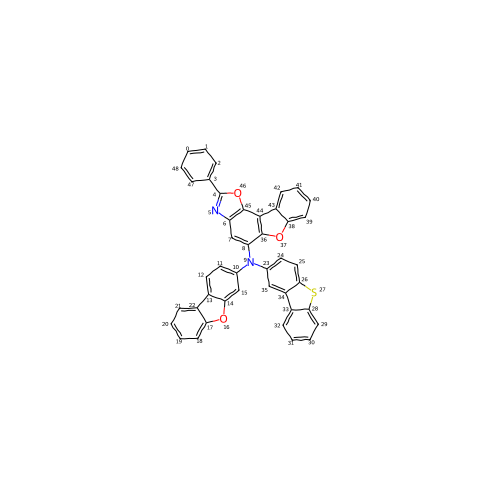 c1ccc(-c2nc3cc(N(c4ccc5c(c4)oc4ccccc45)c4ccc5sc6ccccc6c5c4)c4oc5ccccc5c4c3o2)cc1